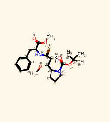 COC(=O)[C@H](Cc1ccccc1)NC(=S)[C@H](C)[C@@H](OC)[C@@H]1CCCN1C(=O)OC(C)(C)C